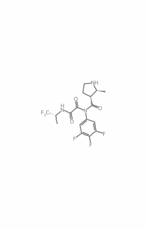 C[C@@H]1NCC[C@@H]1C(=O)N(C(=O)C(=O)N[C@H](C)C(F)(F)F)c1cc(F)c(F)c(F)c1